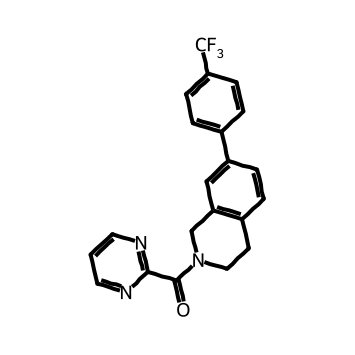 O=C(c1ncccn1)N1CCc2ccc(-c3ccc(C(F)(F)F)cc3)cc2C1